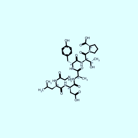 CC(C)C[C@@H](NC(=O)CN)C(=O)N[C@H](CC(=O)O)C(=O)N[C@H](C)C(=O)N[C@H](Cc1ccc(O)cc1)C(=O)N[C@@H](C(=O)N1CCC[C@@H]1C(=O)O)[C@H](C)O